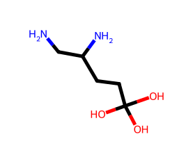 NCC(N)CCC(O)(O)O